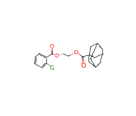 O=C(OCCOC(=O)C12CC3CC(CC(C3)C1)C2)c1ccccc1Cl